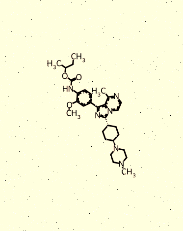 CCC(C)OC(=O)Nc1ccc(-c2nc([C@H]3CC[C@H](N4CCN(C)CC4)CC3)n3ccnc(C)c23)cc1OC